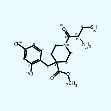 COC(=O)C1(Cc2ccc(Cl)cc2Cl)CCN(C(=O)[C@@H](N)CS)CC1